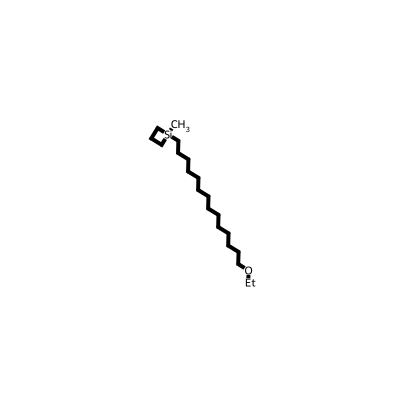 CCOCCCCCCCCCCCCCC[Si]1(C)CCC1